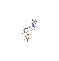 Cc1cc(F)c(N=C2CCCN2CC(F)(F)F)cc1[S+]([O-])CC(F)(F)F